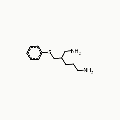 NCCCC(CN)CSc1ccccc1